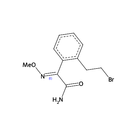 CO/N=C(/C(N)=O)c1ccccc1CCBr